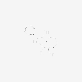 CCOC1(C(C)Cc2ccccc2)CCCC[Si]1(OCC)OCC